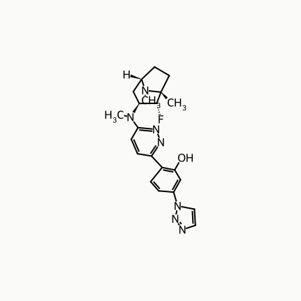 CN(c1ccc(-c2ccc(-n3ccnn3)cc2O)nn1)[C@H]1C[C@@H]2CC[C@](C)([C@@H]1F)N2C